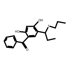 CCCSC(CC)c1cc(C(=O)c2ccccc2)c(O)cc1O